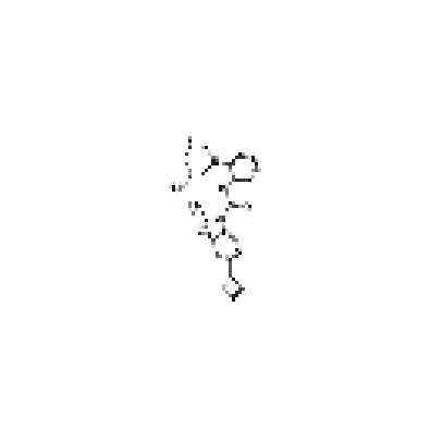 CC1CC(N)CN(c2ccncc2NC(=O)c2c(N)oc3cc(C4=CC=C4)cnc23)C1